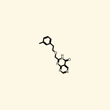 Cc1cccc(CCOCc2nc3ncncc3c(=O)[nH]2)c1